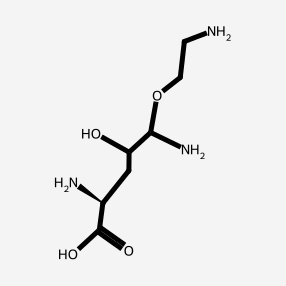 NCCOC(N)C(O)C[C@H](N)C(=O)O